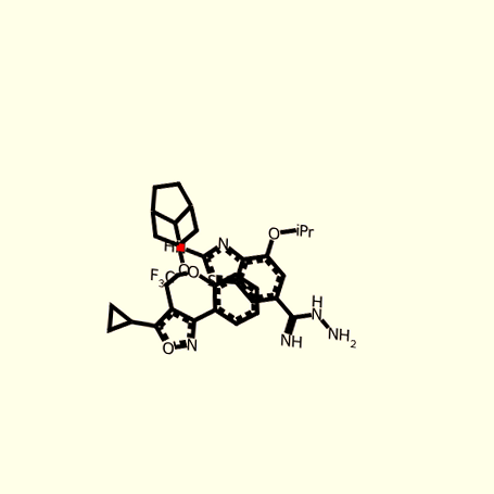 CC(C)Oc1cc(C(=N)NN)cc2sc(NC3C4CCC3CC(OCc3c(-c5ccccc5OC(F)(F)F)noc3C3CC3)C4)nc12